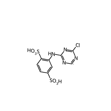 O=S(=O)(O)c1ccc(S(=O)(=O)O)c(Nc2n[c]nc(Cl)n2)c1